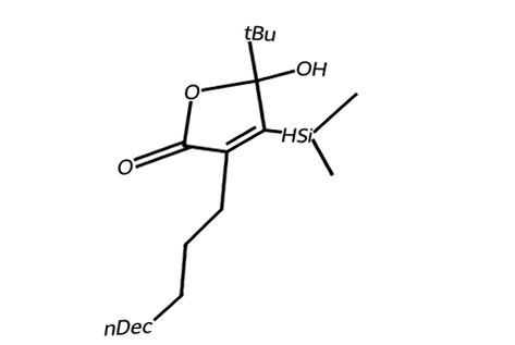 CCCCCCCCCCCCCC1=C([SiH](C)C)C(O)(C(C)(C)C)OC1=O